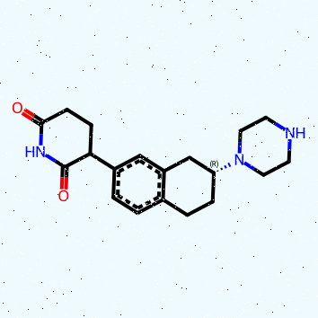 O=C1CCC(c2ccc3c(c2)C[C@H](N2CCNCC2)CC3)C(=O)N1